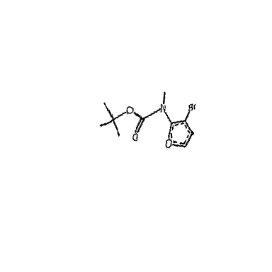 CN(C(=O)OC(C)(C)C)c1occc1Br